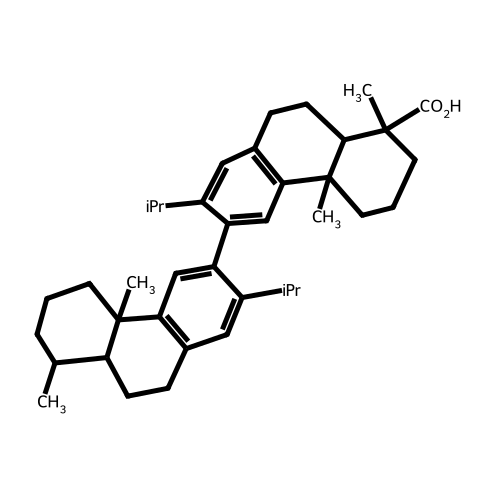 CC(C)c1cc2c(cc1-c1cc3c(cc1C(C)C)CCC1C(C)(C(=O)O)CCCC31C)C1(C)CCCC(C)C1CC2